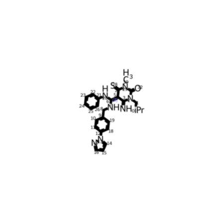 CC(C)CN1C(=N)/C(=C(\NCc2ccc(-n3cccn3)cc2)Nc2ccccc2)C(=S)N(C)C1=O